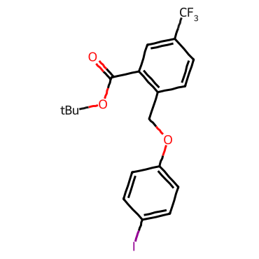 CC(C)(C)OC(=O)c1cc(C(F)(F)F)ccc1COc1ccc(I)cc1